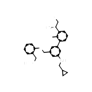 N[C@@H](CF)c1cccc(-c2cc(COc3ccccc3CC(=O)O)cc(NCC3CC3)c2)c1F